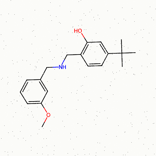 COc1cccc(CNCc2ccc(C(C)(C)C)cc2O)c1